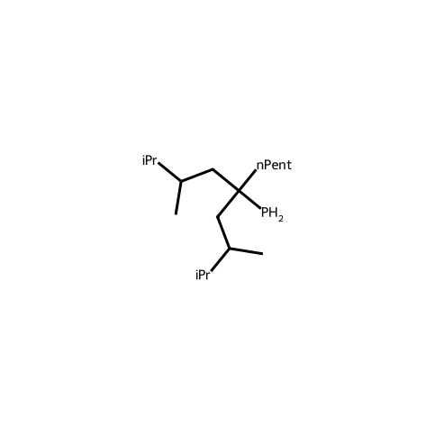 CCCCCC(P)(CC(C)C(C)C)CC(C)C(C)C